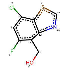 OCc1c(F)cc(Cl)c2scnc12